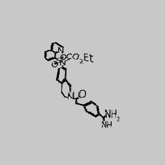 CCOC(=O)CN(c1ccc2c(c1)CN(C(=O)Cc1ccc(C(=N)N)cc1)CC2)S(=O)(=O)c1cccc2cccnc12